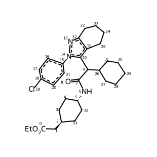 CCOC(=O)C[C@H]1CC[C@H](NC(=O)C(c2c3c(nn2-c2ccc(Cl)cc2)CCCC3)C2CCCCC2)CC1